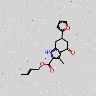 CC=CCOC(=O)c1[nH]c2c(c1C)C(=O)CC(c1ccco1)C2